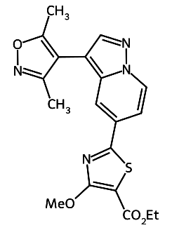 CCOC(=O)c1sc(-c2ccn3ncc(-c4c(C)noc4C)c3c2)nc1OC